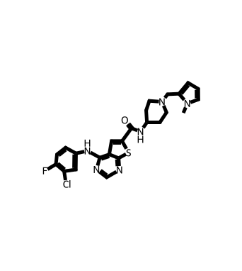 Cn1cccc1CN1CCC(NC(=O)c2cc3c(Nc4ccc(F)c(Cl)c4)ncnc3s2)CC1